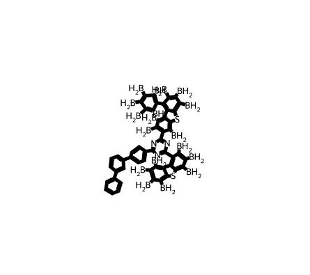 Bc1c(B)c(B)c(-c2c(B)c(B)c(B)c3sc4c(B)c(-c5nc(-c6ccc(-c7cccc(-c8ccccc8)c7)cc6)nc(-c6c(B)c(B)c(B)c7sc8c(B)c(B)c(B)c(B)c8c67)n5)c(B)c(B)c4c23)c(B)c1B